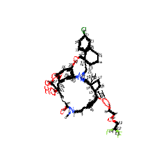 CN1CC/C=C/[C@H](OCCOCC(F)F)[C@@H]2CC[C@H]2CN2C[C@@]3(CCCc4cc(Cl)ccc43)COc3ccc(cc32)[C@@](O)(C(=O)O)CC1=O